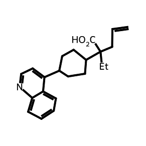 C=CCC(CC)(C(=O)O)C1CCC(c2ccnc3ccccc23)CC1